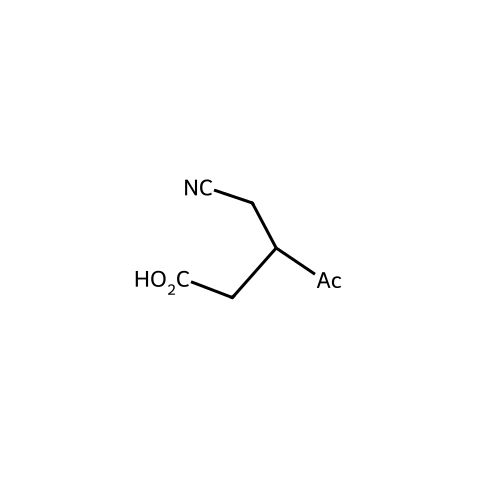 CC(=O)C(CC#N)CC(=O)O